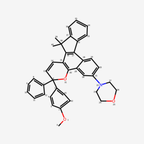 COc1ccc(C2(c3ccccc3)C=Cc3c4c(c5ccc(N6CCOCC6)cc5c3O2)-c2ccccc2C4(C)C)cc1